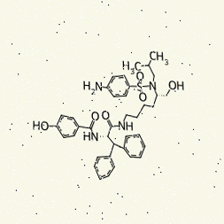 CC(C)CN([C@H](CO)CCCCNC(=O)[C@@H](NC(=O)c1ccc(O)cc1)C(c1ccccc1)c1ccccc1)S(=O)(=O)c1ccc(N)cc1